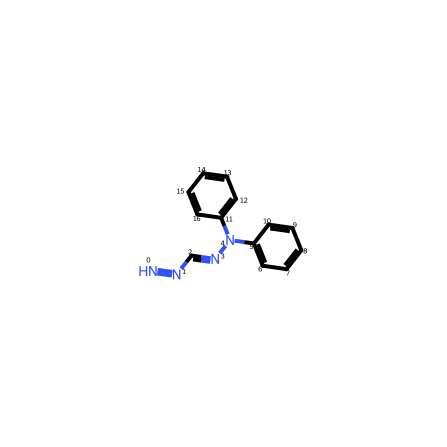 N=N/C=N/N(c1ccccc1)c1ccccc1